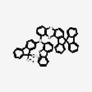 CC1(C)c2ccccc2-c2ccc(N(c3cccc4c3Oc3c(ccc5c3-c3ccccc3C53c5ccccc5-c5ccccc53)O4)c3cccc4c3sc3ccccc34)cc21